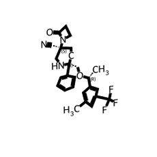 Cc1cc([C@@H](C)OC[C@@]2(c3ccccc3)CC[C@](C#N)(N3CCC3=O)CN2)cc(C(F)(F)F)c1